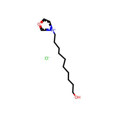 OCCCCCCCCCC[n+]1ccoc1.[Cl-]